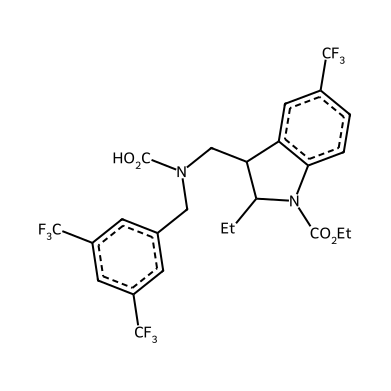 CCOC(=O)N1c2ccc(C(F)(F)F)cc2C(CN(Cc2cc(C(F)(F)F)cc(C(F)(F)F)c2)C(=O)O)C1CC